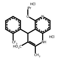 CC1=C(C(=O)O)C(c2ccccc2C(F)(F)F)c2c(ccnc2OC(C)C)N1.Cl.Cl